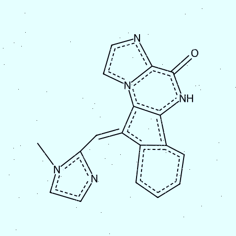 Cn1ccnc1/C=c1\c2ccccc2c2[nH]c(=O)c3nccn3c12